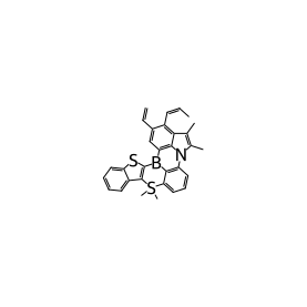 C=Cc1cc2c3c(c(C)c(C)n3-c3cccc4c3B2c2sc3ccccc3c2S4(C)C)c1/C=C\C